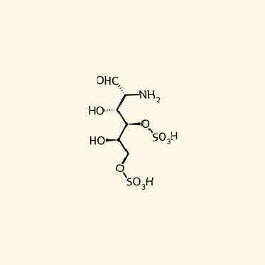 N[C@@H](C=O)[C@@H](O)[C@@H](OS(=O)(=O)O)[C@H](O)COS(=O)(=O)O